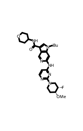 CCC(C)n1cc(C(=O)NC2CCOCC2)c2cnc(Nc3ccnc(N4CC[C@@H](OC)[C@@H](F)C4)n3)cc21